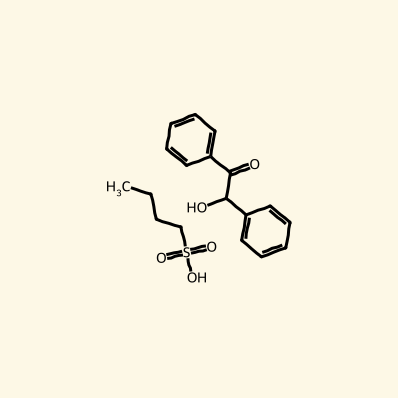 CCCCS(=O)(=O)O.O=C(c1ccccc1)C(O)c1ccccc1